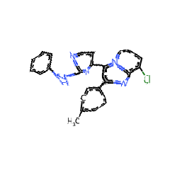 Cc1ccc(-c2nc3c(Cl)cccn3c2-c2ccnc(Nc3ccccc3)n2)cc1